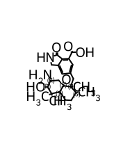 C[C@H]1CC[C@H]2C(C)(C)[C@@H](O)[C@H](N)C[C@]23Oc2c(cc(C(=O)O)c4c2CNC4=O)C[C@]13C